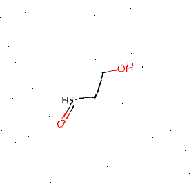 O=[SiH]CCO